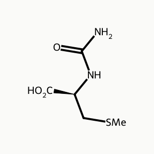 CSC[C@H](NC(N)=O)C(=O)O